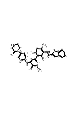 CC1=C(NC(=O)c2cc3ccccc3s2)C(F)=C(c2cc(Nc3ccc(N4CCNCC4=O)cn3)c(=O)n(C)n2)C(C)C1